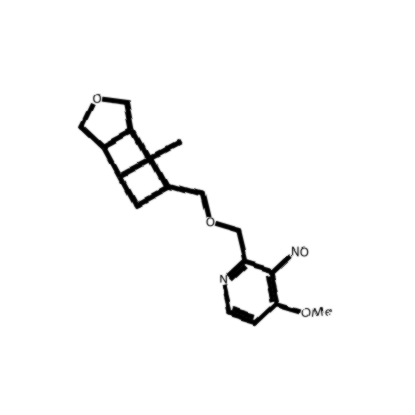 COc1ccnc(COCC2CC3C4COCC4C23C)c1N=O